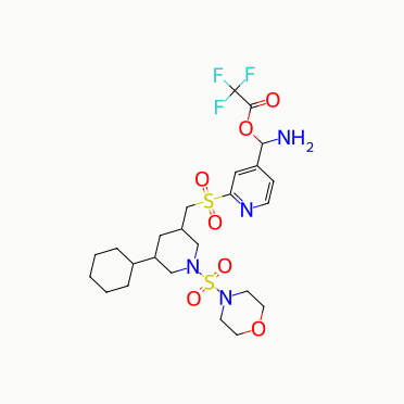 NC(OC(=O)C(F)(F)F)c1ccnc(S(=O)(=O)CC2CC(C3CCCCC3)CN(S(=O)(=O)N3CCOCC3)C2)c1